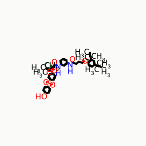 CCC(C)(C)c1ccc(OCCCC(=O)Nc2cccc(NC(=O)C(Cl)(Oc3ccc(S(=O)(=O)c4ccc(O)cc4)cc3)C(=O)C(C)(C)C)c2)c(C(C)(C)CC)c1